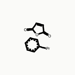 CC(C)c1ccccc1.O=C1C=CC(=O)O1